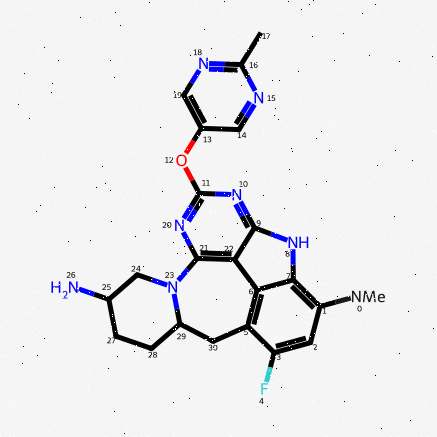 CNc1cc(F)c2c3c1[nH]c1nc(Oc4cnc(C)nc4)nc(c13)N1CC(N)CCC1C2